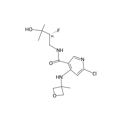 CC1(Nc2cc(Cl)ncc2C(=O)NC[C@@H](F)C(C)(C)O)COC1